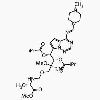 COC(=O)[C@H](C)NCOC[C@@](C#N)(OC)[C@@H](OC(=O)C(C)C)[C@@H](OC(=O)C(C)C)c1ccc2c(/N=C/N3CCN(C)CC3)ncnn12